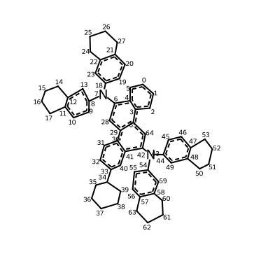 c1ccc2c(c1)c(N(c1ccc3c(c1)CCCC3)c1ccc3c(c1)CCCC3)cc1c3ccc(C4CCCCC4)cc3c(N(c3ccc4c(c3)CCCC4)c3ccc4c(c3)CCCC4)cc21